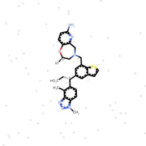 CC[C@@H]1CN(Cc2cc([C@@H](CC(=O)O)c3ccc4c(nnn4C)c3C)cc3ccsc23)Cc2nc(N)ccc2O1